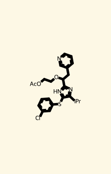 CC(=O)OCCOC(Cc1cccnc1)c1nc(C(C)C)c(Sc2cccc(Cl)c2)[nH]1